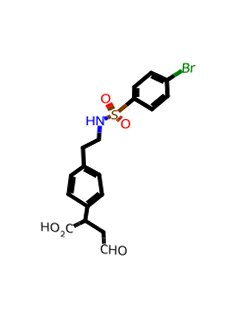 O=CCC(C(=O)O)c1ccc(CCNS(=O)(=O)c2ccc(Br)cc2)cc1